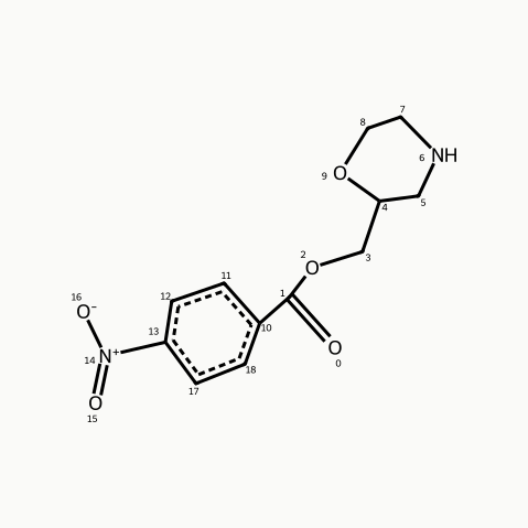 O=C(OCC1CNCCO1)c1ccc([N+](=O)[O-])cc1